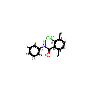 Cc1ccc(C)c(C(=O)Nc2ccccc2)c1Cl